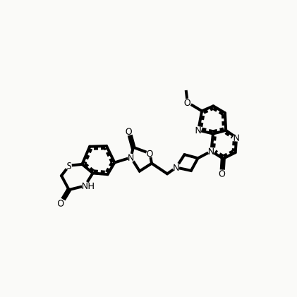 COc1ccc2ncc(=O)n(C3CN(CC4CN(c5ccc6c(c5)NC(=O)CS6)C(=O)O4)C3)c2n1